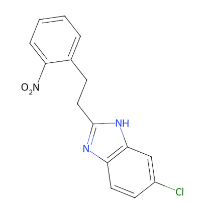 O=[N+]([O-])c1ccccc1CCc1nc2ccc(Cl)cc2[nH]1